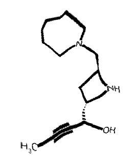 CC#CC(O)[C@@H]1C[C@@H](CN2CCCCC2)N1